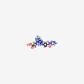 CN1CCC(N(C)C(=O)c2ccc(Nc3ncc(C(F)(F)F)c(N[C@@H]4CC[C@H](C(=O)O)C4)n3)cc2)CC1